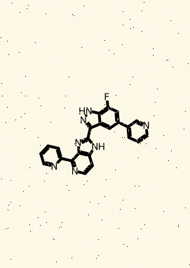 Fc1cc(-c2cccnc2)cc2c(-c3nc4c(-c5ccccn5)nccc4[nH]3)n[nH]c12